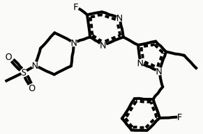 CCc1cc(-c2ncc(F)c(N3CCN(S(C)(=O)=O)CC3)n2)nn1Cc1ccccc1F